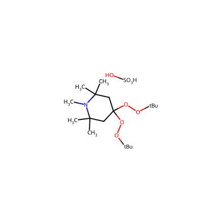 CN1C(C)(C)CC(OOC(C)(C)C)(OOC(C)(C)C)CC1(C)C.O=S(=O)(O)O